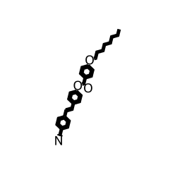 CCCCCCCCOc1ccc(C(=O)Oc2ccc(/C=C/c3ccc(C#N)cc3)cc2)cc1